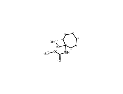 CC(C)(C)OC(=O)NC1(OC=O)CCCCCC1